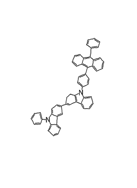 C1=C(c2ccc3c(c2)c2ccccc2n3-c2ccccc2)CCc2c1c1ccccc1n2-c1ccc(-c2c3ccccc3c(-c3ccccc3)c3ccccc23)cc1